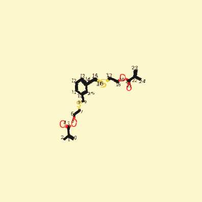 C=C(C)C(=O)OCCSCc1cccc(CSCCOC(=O)C(=C)C)c1